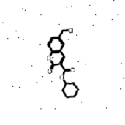 O=C(OC1CCCCC1)c1cc2cc(CCl)ccc2oc1=O